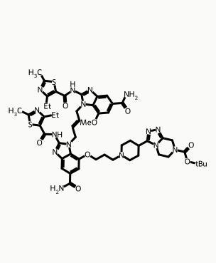 CCc1nc(C)sc1C(=O)Nc1nc2cc(C(N)=O)cc(OC)c2n1C/C=C/Cn1c(NC(=O)c2sc(C)nc2CC)nc2cc(C(N)=O)cc(OCCCN3CCC(c4nnc5n4CCN(C(=O)OC(C)(C)C)C5)CC3)c21